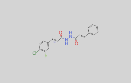 O=C(C=Cc1ccccc1)NNC(=O)/C=C/c1ccc(Cl)c(F)c1